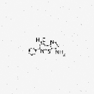 Cc1cc(-c2ccccc2)nc2sc3c(N)ncnc3c12